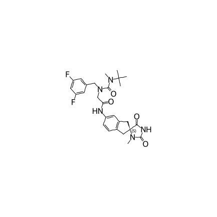 CN(C(=O)N(CC(=O)Nc1ccc2c(c1)C[C@@]1(C2)C(=O)NC(=O)N1C)Cc1cc(F)cc(F)c1)C(C)(C)C